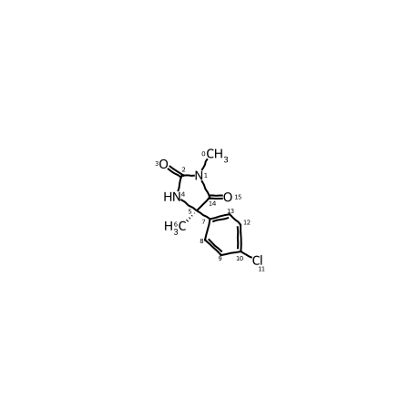 CN1C(=O)N[C@](C)(c2ccc(Cl)cc2)C1=O